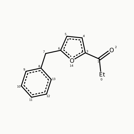 CCC(=O)c1ccc(Cc2ccccc2)o1